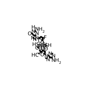 C#C[C@]1(COP(=O)(O)S)O[C@@H](n2cnc3c(N)ncnc32)C[C@@H]1OP(=O)(S)OC[C@H]1O[C@@H](n2nnc3c(=O)[nH]c(N)nc32)C[C@H]1F